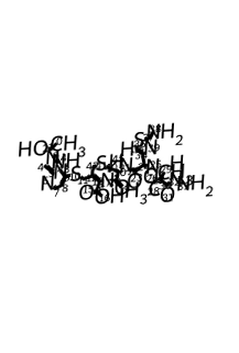 CC(O)N1C=C2N=CC=C(SCC3=C(C(=O)O)N4C(=O)C(NC(=O)/C(=N\OC(C)(C)C(=O)NN)c5csc(N)n5)[C@H]4SC3)N2N1